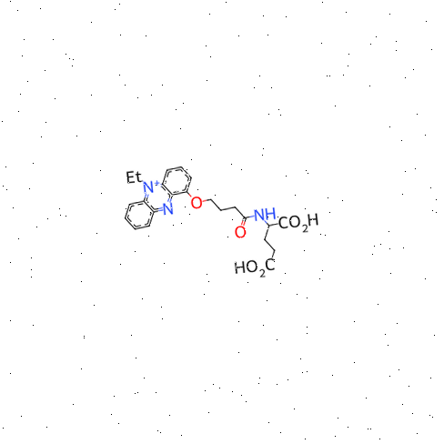 CC[n+]1c2ccccc2nc2c(OCCCC(=O)NC(CCC(=O)O)C(=O)O)cccc21